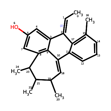 C/C=c1/c2cc(O)cc3c2c(c2cccc(C)c12)=CC(C)C(C)C3C